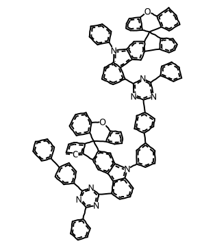 c1ccc(-c2ccc(-c3nc(-c4ccccc4)nc(-c4cccc5c4c4cc6c(cc4n5-c4cccc(-c5ccc(-c7nc(-c8ccccc8)nc(-c8cccc9c8c8cc%10c(cc8n9-c8ccccc8)C8(c9ccccc9Oc9ccccc98)c8ccccc8-%10)n7)cc5)c4)C4(c5ccccc5Oc5ccccc54)c4ccccc4-6)n3)cc2)cc1